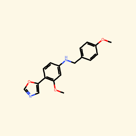 COc1ccc(CNc2ccc(-c3cnco3)c(OC)c2)cc1